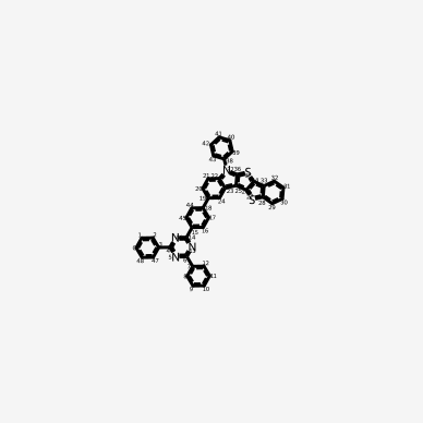 c1ccc(-c2nc(-c3ccccc3)nc(-c3ccc(-c4ccc5c(c4)c4c6sc7ccccc7c6sc4n5-c4ccccc4)cc3)n2)cc1